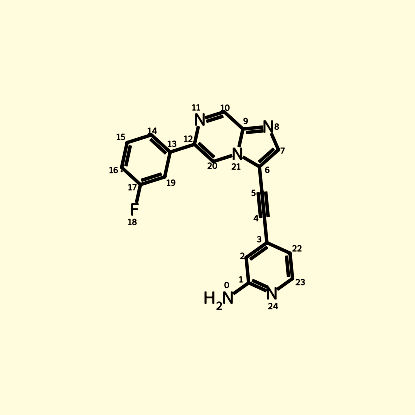 Nc1cc(C#Cc2cnc3cnc(-c4cc[c]c(F)c4)cn23)ccn1